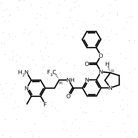 Cc1nc(N)cc(C[C@@H](NC(=O)c2ccc3c(n2)N(C(=O)Oc2ccccc2)[C@H]2CCN3C2)C(F)(F)F)c1F